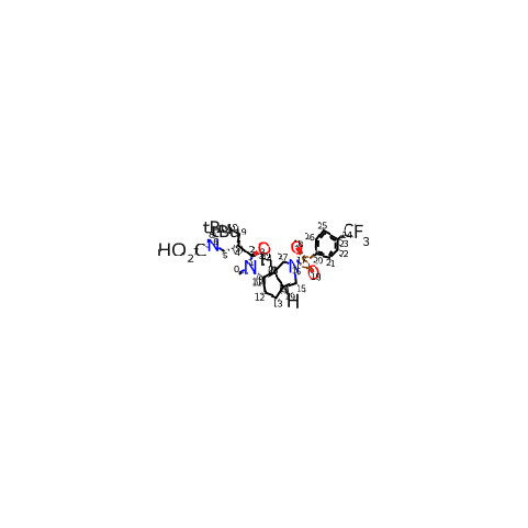 CN(C(=O)[C@H](CN(C(=O)O)C(C)(C)C)CC(C)(C)C)[C@H]1CC[C@@H]2CN(S(=O)(=O)c3ccc(C(F)(F)F)cc3)C[C@@H]21